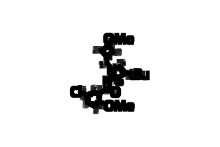 COc1ccc(Cl)cc1C(=O)/N=c1\sc(C(C)(C)C)cn1CC1CC(OC)C1